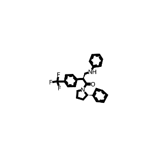 O=C([C@H](CNc1ccccc1)c1ccc(C(F)(F)F)cc1)N1CCC[C@H]1c1ccccc1